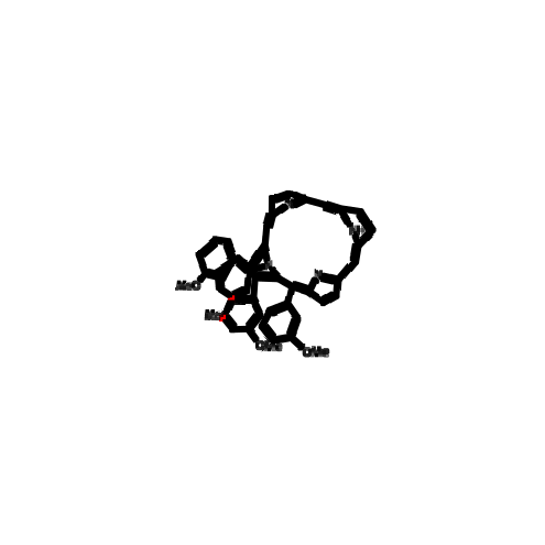 COc1cccc(-c2c(-c3cccc(OC)c3)c3c(-c4cccc(OC)c4)c4nc(cc5ccc(cc6nc(cc2n3-c2cccc(OC)c2)C=C6)[nH]5)C=C4)c1